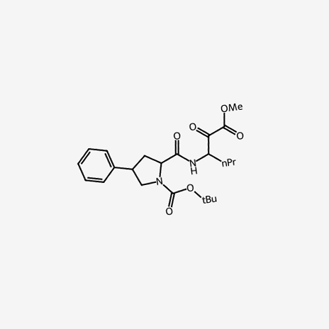 CCCC(NC(=O)C1CC(c2ccccc2)CN1C(=O)OC(C)(C)C)C(=O)C(=O)OC